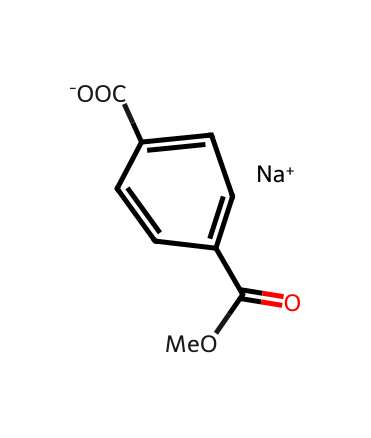 COC(=O)c1ccc(C(=O)[O-])cc1.[Na+]